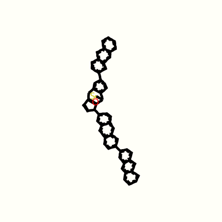 O=C1SC2C3=C(C(c4ccc5cc6cc(-c7ccc8cc9ccccc9cc8c7)ccc6cc5c4)C=C3)C1c1ccc(-c3ccc4cc5ccccc5cc4c3)cc12